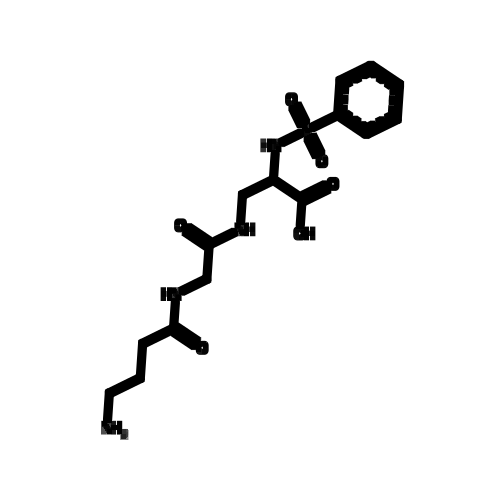 NCCCC(=O)NCC(=O)NCC(NS(=O)(=O)c1ccccc1)C(=O)O